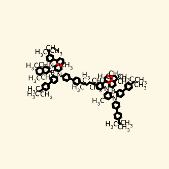 Cc1cc2c3c(c1)N(c1ccc(C(C)(C)C)cc1-c1ccccc1)c1cc4c(cc1B3c1cc(-c3ccc(C(C)(C)C)cc3)ccc1N2c1ccc(-c2ccc(C(C)(C)CCC(C)(C)c3ccc(N5c6cc7c(cc6B6c8cc(-c9ccc(C(C)(C)C)cc9)ccc8N(c8ccc(-c9ccc(C(C)(C)C)cc9)cc8)c8cc(C)cc5c86)C(C)(C)CC7(C)C)c(-c5ccccc5)c3)cc2)cc1)C(C)(C)CCC4(C)C